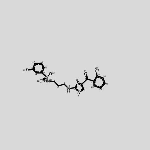 O=C(c1cnc(NCCCNS(=O)(=O)c2cccc(F)c2)s1)c1ccccc1Cl